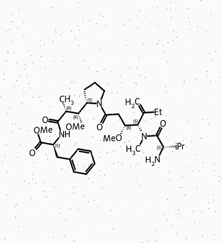 C=C(CC)[C@@H]([C@@H](CC(=O)N1CCC[C@H]1[C@H](OC)[C@@H](C)C(=O)N[C@@H](Cc1ccccc1)C(=O)OC)OC)N(C)C(=O)[C@@H](N)C(C)C